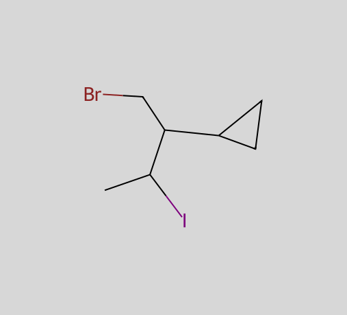 CC(I)C(CBr)C1CC1